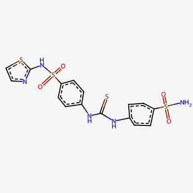 NS(=O)(=O)c1ccc(NC(=S)Nc2ccc(S(=O)(=O)Nc3nccs3)cc2)cc1